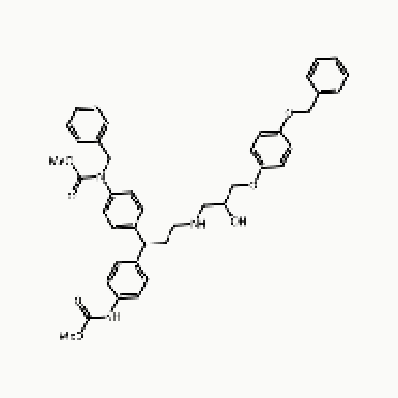 COC(=O)Nc1ccc(C(CCNC[C@H](O)COc2ccc(OCc3ccccc3)cc2)c2ccc(N(Cc3ccccc3)C(=O)OC)cc2)cc1